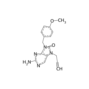 C#CCn1c(=O)n(Cc2ccc(OC)cc2)c2nc(N)ncc21